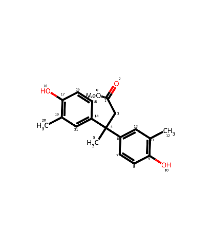 COC(=O)CC(C)(c1ccc(O)c(C)c1)c1ccc(O)c(C)c1